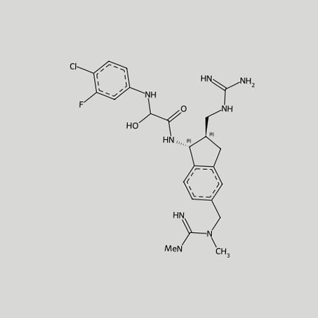 CNC(=N)N(C)Cc1ccc2c(c1)C[C@H](CNC(=N)N)[C@H]2NC(=O)C(O)Nc1ccc(Cl)c(F)c1